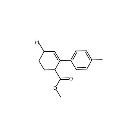 COC(=O)C1CCC(Cl)C=C1c1ccc(C)cc1